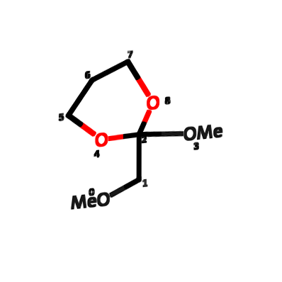 COCC1(OC)OCCCO1